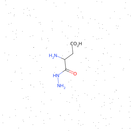 NNC(=O)C(N)CC(=O)O